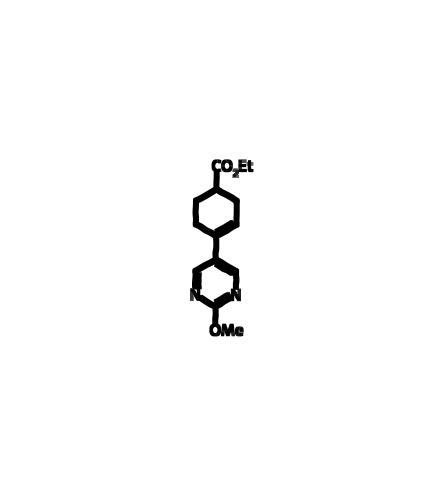 CCOC(=O)C1CC=C(c2cnc(OC)nc2)CC1